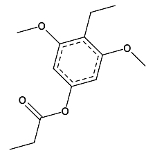 CCC(=O)Oc1cc(OC)c(CC)c(OC)c1